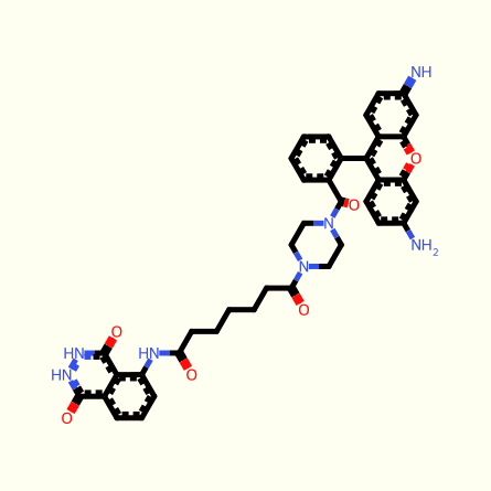 N=c1ccc2c(-c3ccccc3C(=O)N3CCN(C(=O)CCCCCC(=O)Nc4cccc5c(=O)[nH][nH]c(=O)c45)CC3)c3ccc(N)cc3oc-2c1